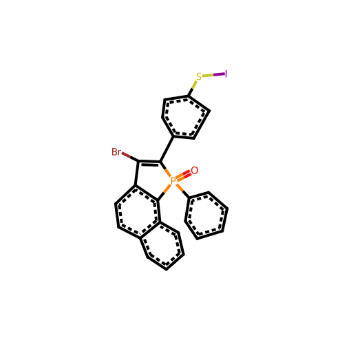 O=P1(c2ccccc2)C(c2ccc(SI)cc2)=C(Br)c2ccc3ccccc3c21